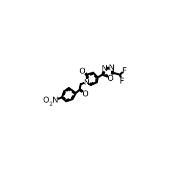 O=C(Cn1ccc(-c2nnc(C(F)F)o2)cc1=O)c1ccc([N+](=O)[O-])cc1